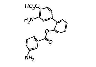 Nc1cccc(C(=O)Oc2ccccc2-c2ccc(C(=O)O)c(N)c2)c1